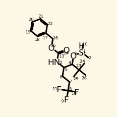 C[SiH](C)OC(C(CCC(F)(F)F)NC(=O)OCc1ccccc1)C(C)(C)C